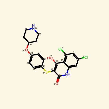 O=c1[nH]c2cc(Cl)cc(Cl)c2c(O)c1Sc1ccc(OC2CCNCC2)cc1